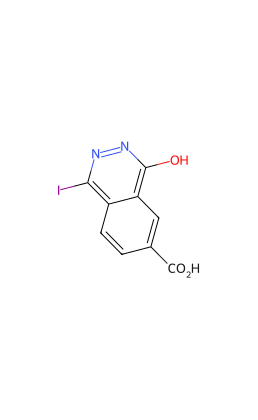 O=C(O)c1ccc2c(I)nnc(O)c2c1